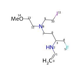 C=CNC(CF)CCN(CCI)CCOC